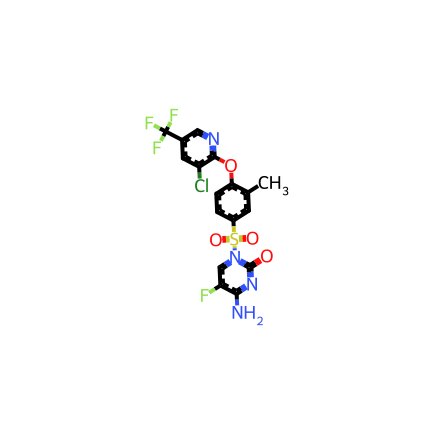 Cc1cc(S(=O)(=O)n2cc(F)c(N)nc2=O)ccc1Oc1ncc(C(F)(F)F)cc1Cl